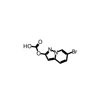 O=C(O)Oc1cc2ccc(Br)cn2n1